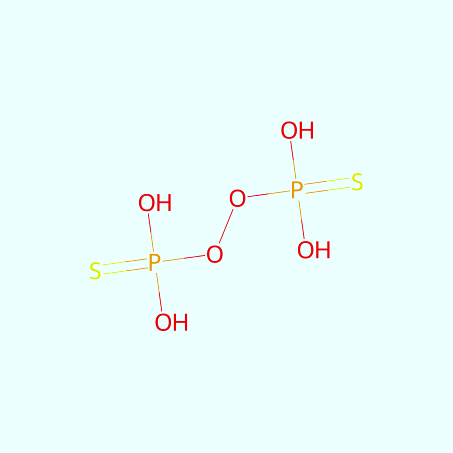 OP(O)(=S)OOP(O)(O)=S